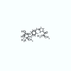 CN(C)C(=O)C1CCN(Cc2ccc(CC(NC(=O)O)C(C)(C)C)cc2)C1